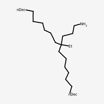 CCCCCCCCCCCCCCCCC(CC)(CCCN)CCCCCCCCCCCCCCCC